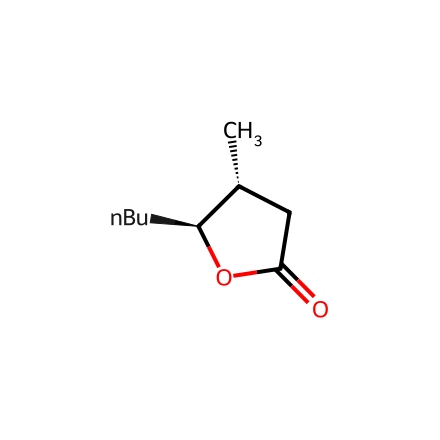 CCCC[C@@H]1OC(=O)C[C@H]1C